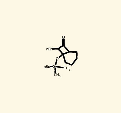 CCCC[Si](C)(C)OC12CCCCC1C(=O)C2CCC